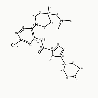 CN(C)CC1(C)CCN(c2ccc(Cl)cc2NC(=O)c2ccc(C3CCOCC3)o2)CC1